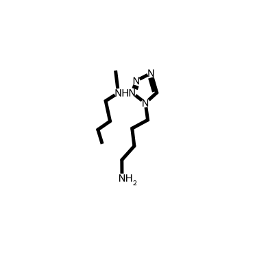 CCCCNC.NCCCCn1cnnn1